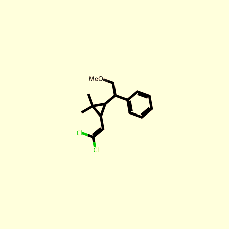 COCC(c1ccccc1)C1C(C=C(Cl)Cl)C1(C)C